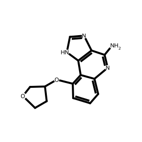 Nc1nc2cccc(OC3CCOC3)c2c2[nH]cnc12